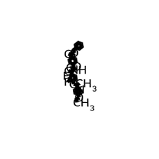 CCOc1ccc(C(C)Oc2ccc(C(=O)NS(=O)(=O)C3CCN(C(=O)OCc4ccccc4)CC3)c(F)c2F)nc1